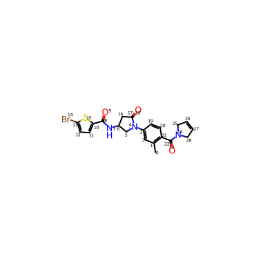 Cc1cc(N2CC(NC(=O)c3ccc(Br)s3)CC2=O)ccc1C(=O)N1CC=CC1